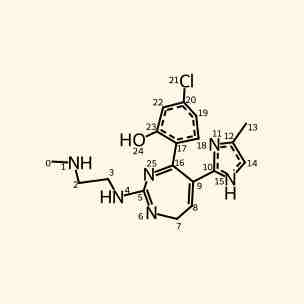 CNCCNC1=NCC=C(c2nc(C)c[nH]2)C(c2ccc(Cl)cc2O)=N1